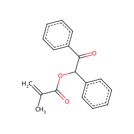 C=C(C)C(=O)OC(C(=O)c1ccccc1)c1ccccc1